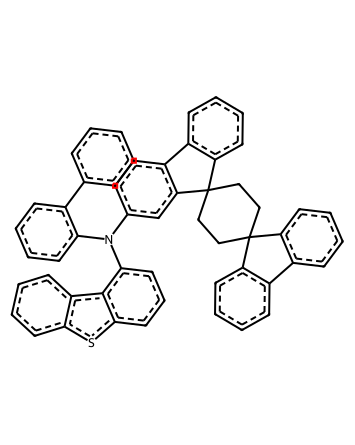 c1ccc(-c2ccccc2N(c2ccc3c(c2)C2(CCC4(CC2)c2ccccc2-c2ccccc24)c2ccccc2-3)c2cccc3sc4ccccc4c23)cc1